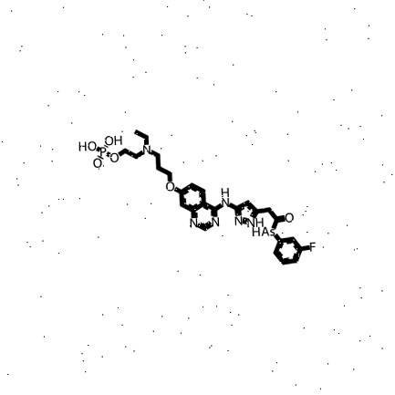 CCN(CCCOc1ccc2c(Nc3cc(CC(=O)[AsH]c4cccc(F)c4)[nH]n3)ncnc2c1)CCOP(=O)(O)O